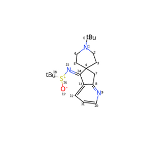 CC(C)(C)N1CCC2(CC1)Cc1ncccc1/C2=N\[S@+]([O-])C(C)(C)C